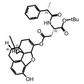 C[C@H](C(=O)N[C@@H](CC(=O)OC1=CC[C@@]2(O)[C@H]3Cc4ccc(O)c5c4C2(CCN3C)C1O5)C(=O)OC(C)(C)C)c1ccccc1